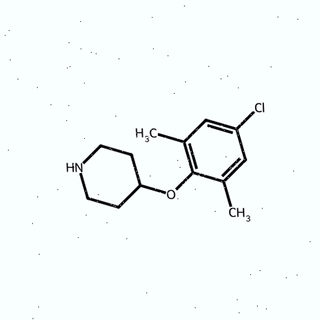 Cc1cc(Cl)cc(C)c1OC1CCNCC1